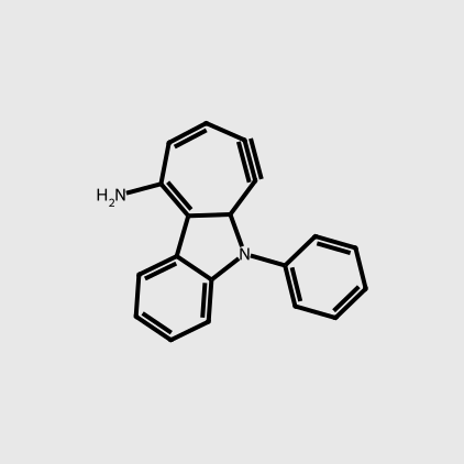 NC1=C2c3ccccc3N(c3ccccc3)C2C#CC=C1